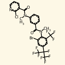 CN(C(=O)c1cccnc1Cl)c1cccc(C(=O)N(C)c2c(Br)cc(C(F)(C(F)(F)F)C(F)(F)F)cc2C(F)(F)F)c1